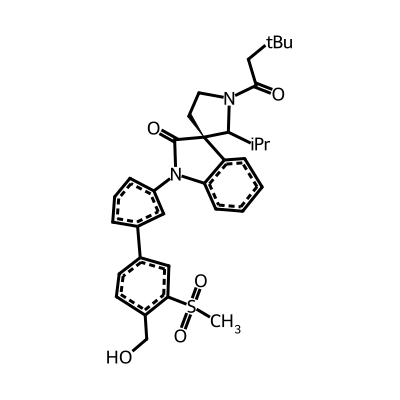 CC(C)C1N(C(=O)CC(C)(C)C)CC[C@@]12C(=O)N(c1cccc(-c3ccc(CO)c(S(C)(=O)=O)c3)c1)c1ccccc12